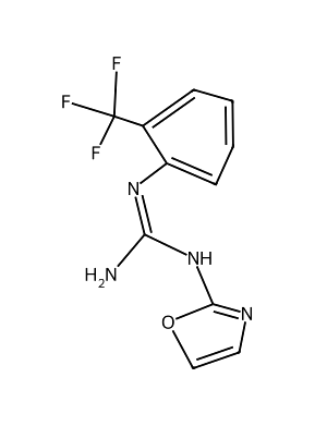 NC(=Nc1ccccc1C(F)(F)F)Nc1ncco1